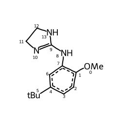 COc1ccc(C(C)(C)C)cc1NC1=NCCN1